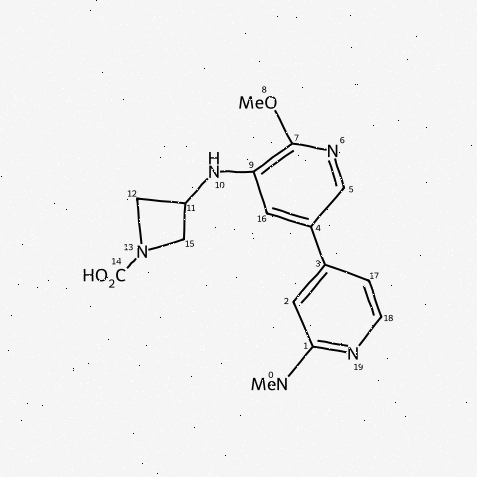 CNc1cc(-c2cnc(OC)c(NC3CN(C(=O)O)C3)c2)ccn1